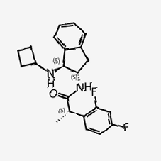 C[C@H](C(=O)N[C@H]1Cc2ccccc2[C@@H]1NC1CCC1)c1ccc(F)cc1F